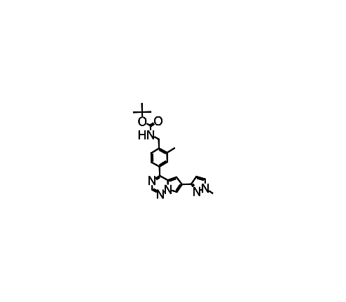 Cc1cc(-c2ncnn3cc(-c4ccn(C)n4)cc23)ccc1CNC(=O)OC(C)(C)C